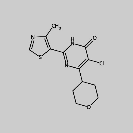 Cc1ncsc1-c1nc(C2CCOCC2)c(Cl)c(=O)[nH]1